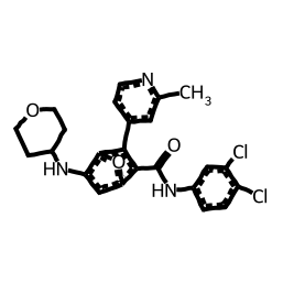 Cc1cc(-c2c(C(=O)Nc3ccc(Cl)c(Cl)c3)c3cc(NC4CCOCC4)c2o3)ccn1